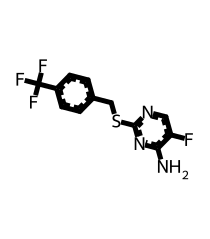 Nc1nc(SCc2ccc(C(F)(F)F)cc2)ncc1F